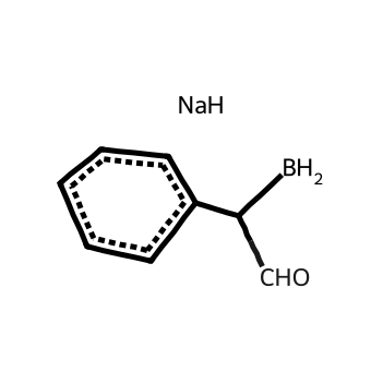 BC(C=O)c1ccccc1.[NaH]